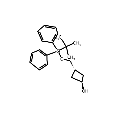 CC(C)(C)[Si](OC[C@H]1C[C@H](O)C1)(c1ccccc1)c1ccccc1